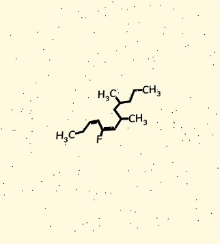 CC/C=C\C(F)=C/C(C)CC(C)CCC